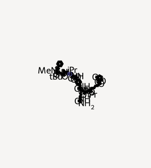 CN[C@H](C(=O)N[C@H](C(=O)N(C)[C@H](/C=C(\C)C(=O)NS(=O)(=O)c1ccc(NC(=O)[C@@H](CCCNC(N)=O)NC(=O)[C@H](NC(=O)CCCCC(=O)ON2C(=O)CCC2=O)C(C)C)cc1)C(C)C)C(C)(C)C)C(C)(C)c1ccccc1